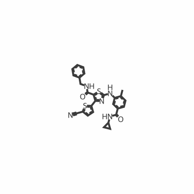 Cc1ccc(C(=O)NC2CC2)cc1Nc1nc(-c2ccc(C#N)s2)c(C(=O)NCc2ccccc2)s1